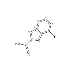 O=C(O)c1cc2c(F)cccn2c1